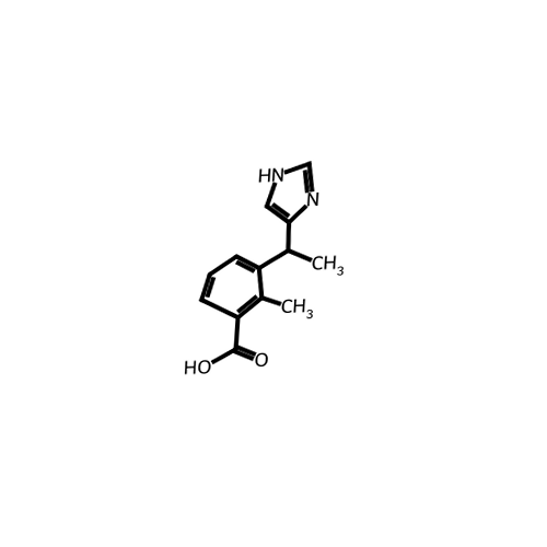 Cc1c(C(=O)O)cccc1C(C)c1c[nH]cn1